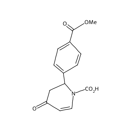 COC(=O)c1ccc(C2CC(=O)C=CN2C(=O)O)cc1